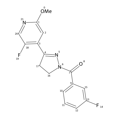 COc1cc(C2=NN(C(=O)c3cccc(F)c3)CC2)c(F)cn1